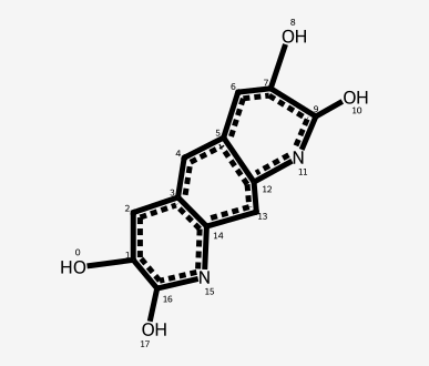 Oc1cc2cc3cc(O)c(O)nc3cc2nc1O